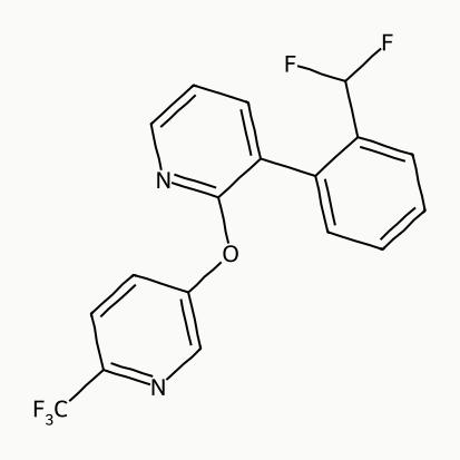 FC(F)c1ccccc1-c1cccnc1Oc1ccc(C(F)(F)F)nc1